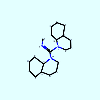 CN=C(N1CCCC2CCCCC21)N1CCCC2CCCCC21